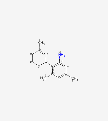 CC1=CC(c2c(C)cc(C)cc2N)CCC1